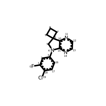 Fc1cc(N2CC3(CCC3)c3nccnc32)ccc1Cl